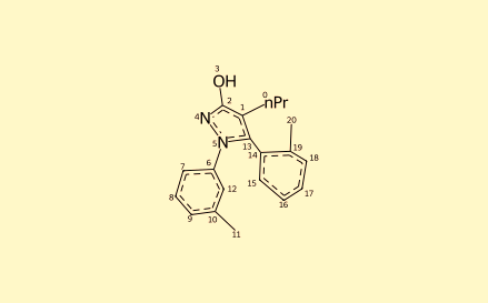 CCCc1c(O)nn(-c2cccc(C)c2)c1-c1ccccc1C